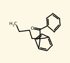 CCCCC1(C(=O)c2[c]cc[c]c2)C2=CC=C1C=C2